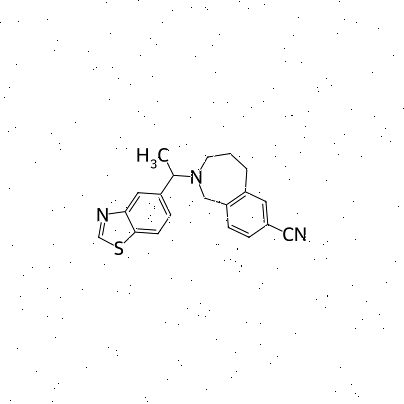 CC(c1ccc2scnc2c1)N1CCCc2cc(C#N)ccc2C1